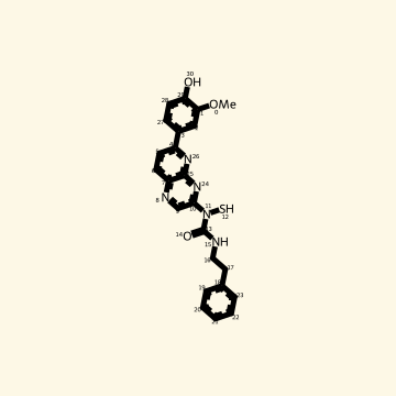 COc1cc(-c2ccc3ncc(N(S)C(=O)NCCc4ccccc4)nc3n2)ccc1O